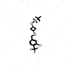 CC(C)(C)[Si](C)(C)O[C@H]1C[C@@H](OCc2ccc(C(F)(F)F)c(Cl)c2)C1